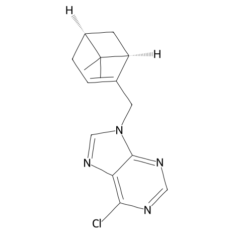 CC1(C)[C@H]2CC=C(Cn3cnc4c(Cl)ncnc43)[C@@H]1C2